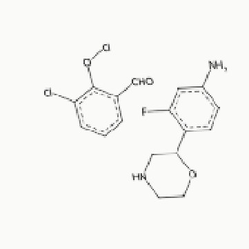 Nc1ccc(C2CNCCO2)c(F)c1.O=Cc1cccc(Cl)c1OCl